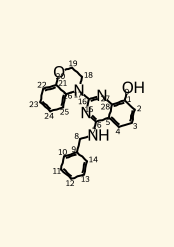 Oc1cccc2c(NCc3ccccc3)nc(N3CCOc4ccccc43)nc12